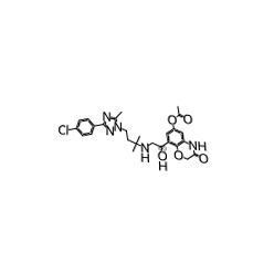 CC(=O)Oc1cc2c(c([C@@H](O)CNC(C)(C)CCn3nc(-c4ccc(Cl)cc4)nc3C)c1)OCC(=O)N2